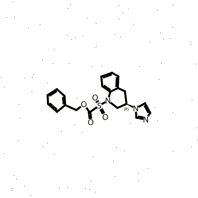 O=C(OCc1ccccc1)S(=O)(=O)N1C[C@H](n2ccnc2)Cc2ccccc21